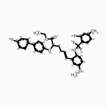 CCOC(=O)C(CCC=Cc1cc(OC)ccc1OC(F)(F)c1ccc(C)cc1F)Oc1ccc(-c2ccc(F)cc2)cc1